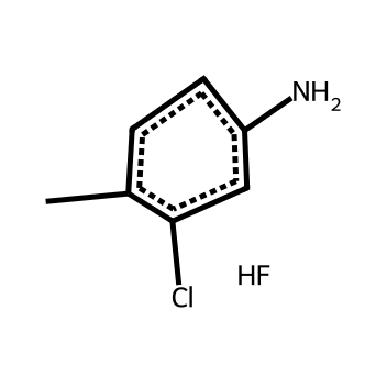 Cc1ccc(N)cc1Cl.F